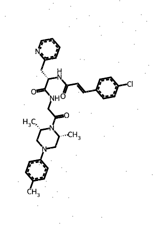 Cc1ccc(N2C[C@@H](C)N(C(=O)CNC(=O)[C@H](Cc3ccccn3)NC(=O)/C=C/c3ccc(Cl)cc3)[C@@H](C)C2)cc1